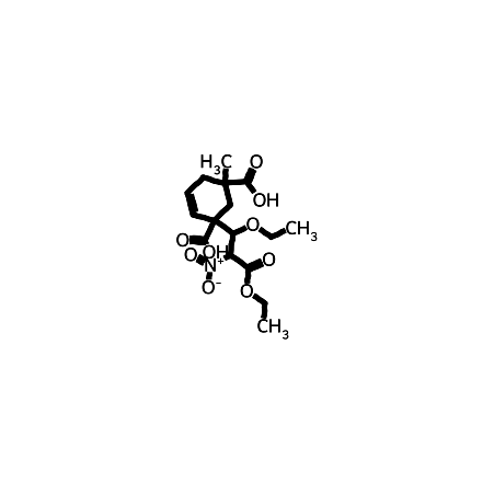 CCOC(=O)C(C(OCC)C1(C(=O)O)C=CCC(C)(C(=O)O)C1)[N+](=O)[O-]